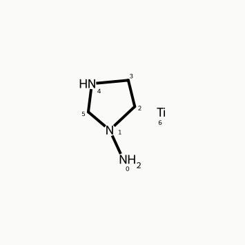 NN1CCNC1.[Ti]